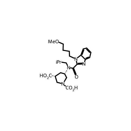 COCCCCn1c(C(=O)N(CC(C)C)[C@H]2C[C@@H](C(=O)O)CN(C(=O)O)C2)nc2ccccc21